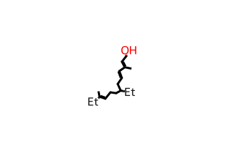 CC/C(C)=C/CCC(CC)C/C=C/C(C)=C/CO